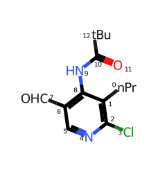 CCCc1c(Cl)ncc(C=O)c1NC(=O)C(C)(C)C